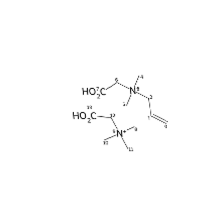 C=CC[N+](C)(C)CC(=O)O.C[N+](C)(C)CC(=O)O